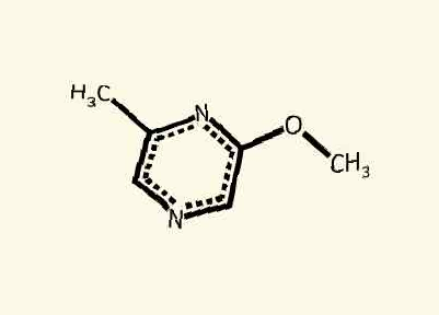 COc1cncc(C)n1